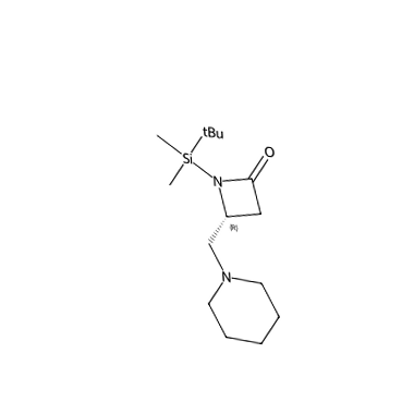 CC(C)(C)[Si](C)(C)N1C(=O)C[C@@H]1CN1CCCCC1